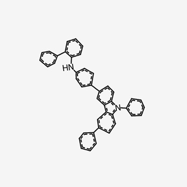 c1ccc(-c2ccc3c(c2)c2cc(-c4ccc(Nc5ccccc5-c5ccccc5)cc4)ccc2n3-c2ccccc2)cc1